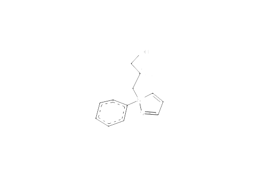 OC[C@H](O)C[N+]1(c2ccccc2)C=CC=N1